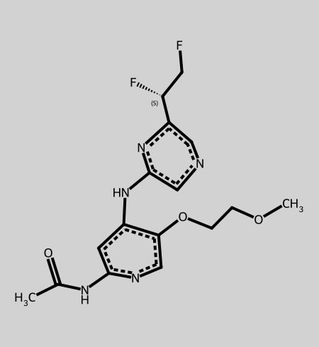 COCCOc1cnc(NC(C)=O)cc1Nc1cncc([C@H](F)CF)n1